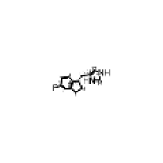 Fc1ccc2c(c1)CC[C@@H]2CC1=CNCN1